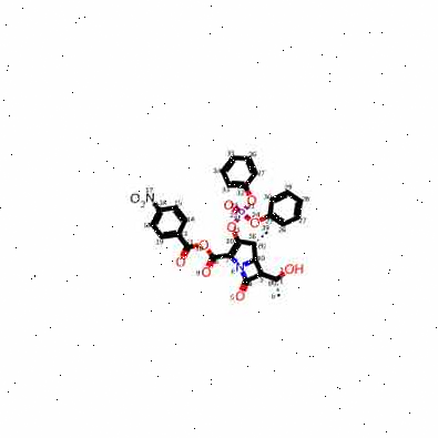 C[C@@H](O)C1C(=O)N2C(C(=O)OC(=O)c3ccc([N+](=O)[O-])cc3)=C(OP(=O)(Oc3ccccc3)Oc3ccccc3)[C@H](C)C12